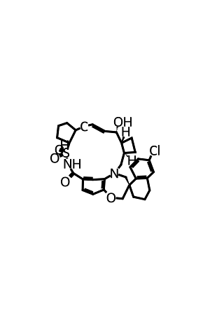 O=C1NS(=O)(=O)[C@@H]2CCCC2C/C=C/[C@H](O)[C@@H]2CC[C@H]2CN2C[C@@]3(CCCc4cc(Cl)ccc43)COc3ccc1cc32